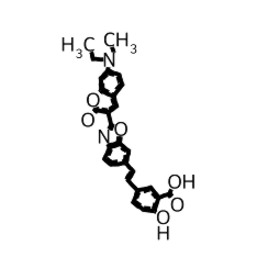 CCN(CC)c1ccc2cc(-c3nc4ccc(/C=C/c5ccc(O)c(C(=O)O)c5)cc4o3)c(=O)oc2c1